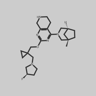 C[C@@]12CC[C@H](CN(c3nc(OCC4(CN5CC[C@@H](F)C5)CC4)nc4c3CCNC4)C1)C2